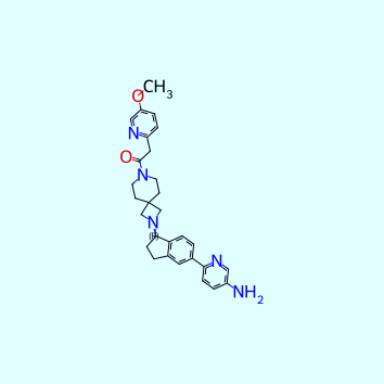 COc1ccc(CC(=O)N2CCC3(CC2)CN([C@@H]2CCc4cc(-c5ccc(N)cn5)ccc42)C3)nc1